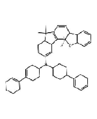 CC1(C)C2=C(C3C=C(N(C4CC=C(C5=CCCCC5)CC4)C4CCC(C5=CC=CCC5)CC4)CCC31)[C@]1(C)OC3C=CC=CC3C1C=C2